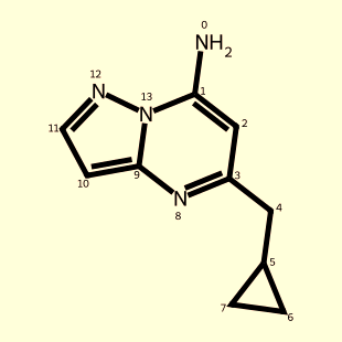 Nc1cc(CC2CC2)nc2ccnn12